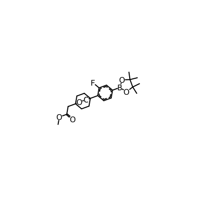 COC(=O)CC12CCC(c3ccc(B4OC(C)(C)C(C)(C)O4)cc3F)(CC1)CO2